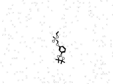 CCOP(C)(=O)COc1cccc(B2OC(C)(C)C(C)(C)O2)c1